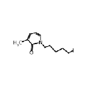 Cc1cccn(CCCCCI)c1=O